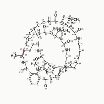 COc1c2cccc1C(=O)NCCN1CCNC(=O)c3cccc(c3OC)C(=O)NCCC(CCNC2=O)CCC2CCNC(=O)c3cccc(c3OC)C(=O)NCCN(CC1)CC(CCCCN)NC(=O)c1cccc(c1OC)C(=O)NCC2